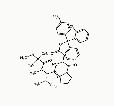 CNC(C)(C)C(=O)N(C)[C@H](C(=O)N[C@@H](CC(=O)OC(c1ccccc1)(c1ccc(C)cc1)c1ccccc1Cl)C(=O)N1CCCC1)C(C)C